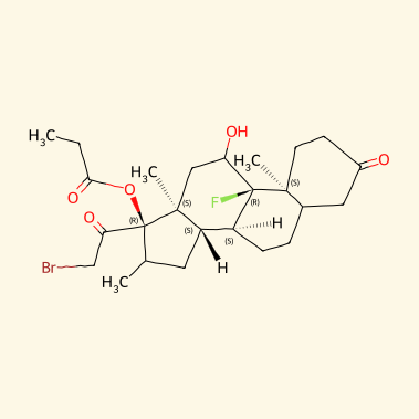 CCC(=O)O[C@]1(C(=O)CBr)C(C)C[C@H]2[C@@H]3CCC4CC(=O)CC[C@]4(C)[C@@]3(F)C(O)C[C@@]21C